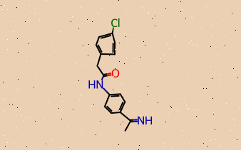 CC(=N)c1ccc(NC(=O)Cc2ccc(Cl)cc2)cc1